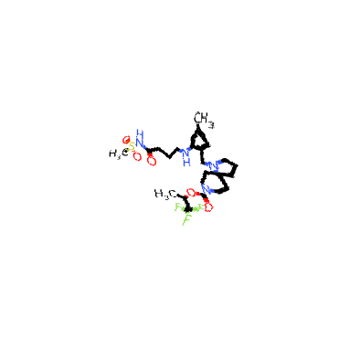 Cc1ccc(CN2CCCC23CCN(C(=O)OC(C)C(F)(F)F)CC3)c(NCCCC(=O)NS(C)(=O)=O)c1